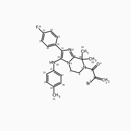 C=C(Br)C(=O)N1CCn2c(nc(-c3ccc(F)cc3)c2Nc2ccc(C)cc2)C1(C)C